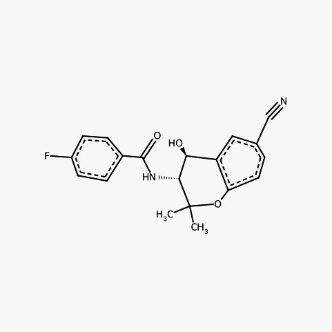 CC1(C)Oc2ccc(C#N)cc2[C@H](O)[C@H]1NC(=O)c1ccc(F)cc1